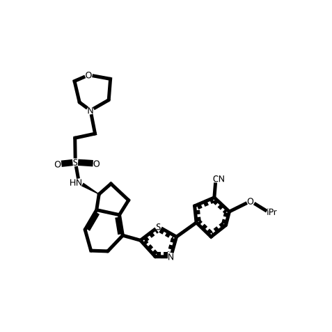 CC(C)Oc1ccc(-c2ncc(C3=C4CC[C@H](NS(=O)(=O)CCN5CCOCC5)C4=CCC3)s2)cc1C#N